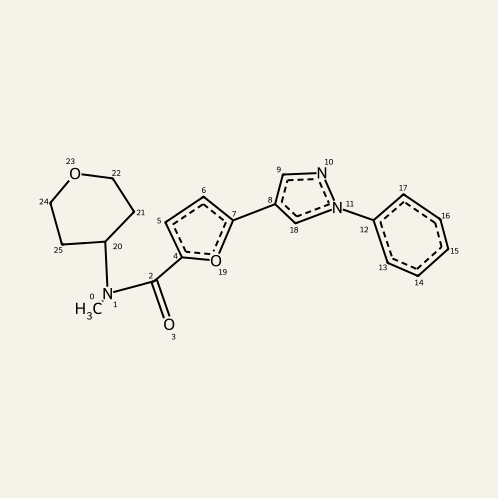 CN(C(=O)c1ccc(-c2cnn(-c3ccccc3)c2)o1)C1CCOCC1